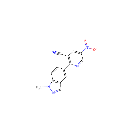 Cn1ncc2cc(-c3ncc([N+](=O)[O-])cc3C#N)ccc21